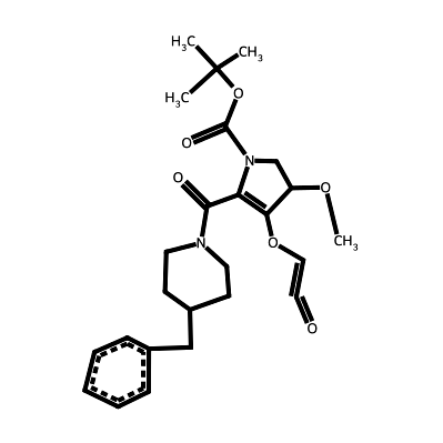 COC1CN(C(=O)OC(C)(C)C)C(C(=O)N2CCC(Cc3ccccc3)CC2)=C1OC=C=O